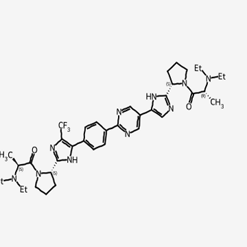 CCN(CC)[C@H](C)C(=O)N1CCC[C@H]1c1ncc(-c2cnc(-c3ccc(-c4[nH]c([C@@H]5CCCN5C(=O)[C@H](C)N(CC)CC)nc4C(F)(F)F)cc3)nc2)[nH]1